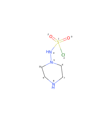 O=S(=O)(Cl)NN1CCNCC1